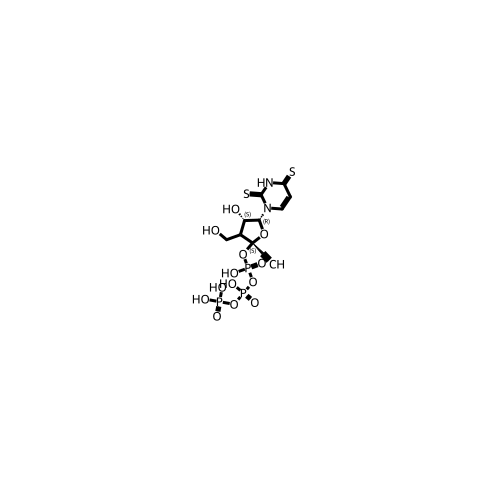 C#C[C@]1(OP(=O)(O)OP(=O)(O)OP(=O)(O)O)O[C@@H](n2ccc(=S)[nH]c2=S)[C@@H](O)C1CO